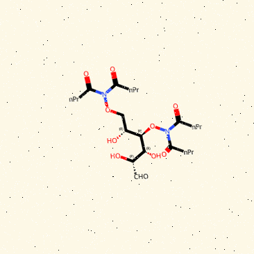 CCCC(=O)N(OC[C@@H](O)[C@@H](ON(C(=O)CCC)C(=O)CCC)[C@H](O)[C@@H](O)C=O)C(=O)CCC